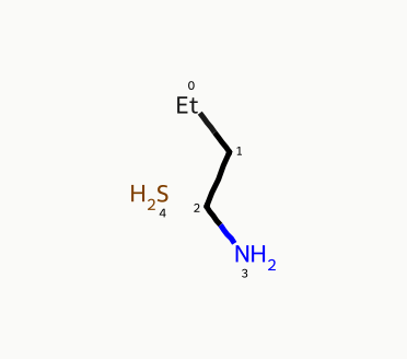 CCCCN.S